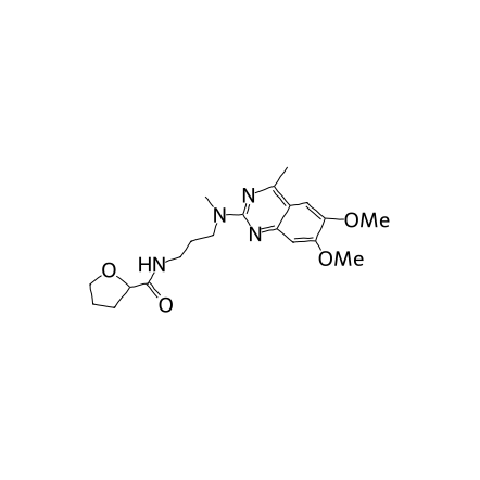 COc1cc2nc(N(C)CCCNC(=O)C3CCCO3)nc(C)c2cc1OC